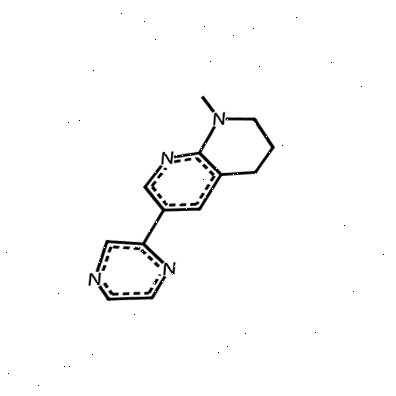 CN1CCCc2cc(-c3cnccn3)cnc21